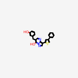 Oc1cccc(Cc2cnc3c(-c4cc(-c5ccccc5)cs4)cnn3c2O)c1